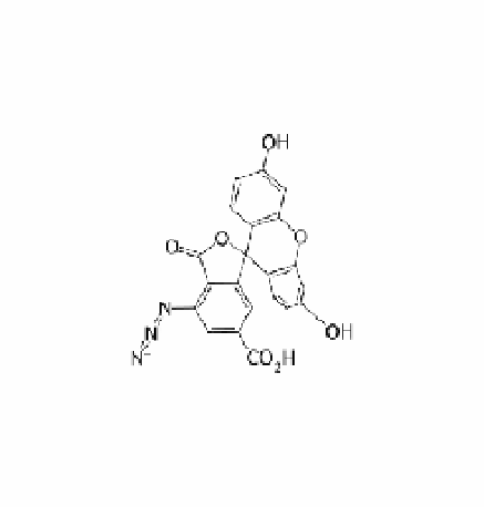 [N-]=[N+]=Nc1cc(C(=O)O)cc2c1C(=O)OC21c2ccc(O)cc2Oc2cc(O)ccc21